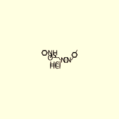 Cc1ccc(CN2CCN(CCCSC(=O)Nc3ccccc3)CC2)cc1.Cl.Cl